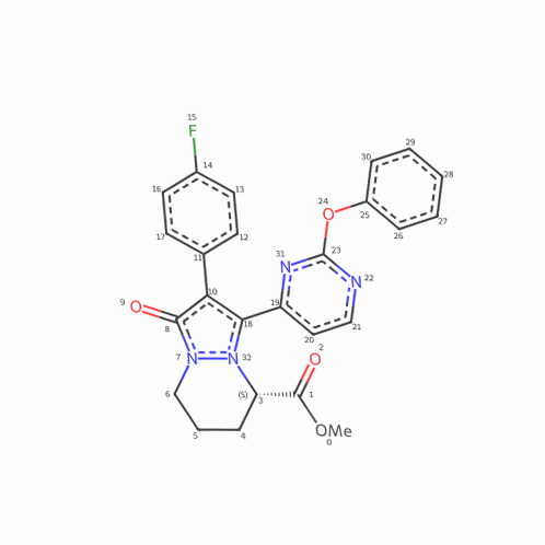 COC(=O)[C@@H]1CCCn2c(=O)c(-c3ccc(F)cc3)c(-c3ccnc(Oc4ccccc4)n3)n21